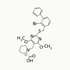 COc1nc(SCc2cccc(-c3ccccc3)c2Br)nc(OC)c1CN1CCCC[C@H]1C(=O)O